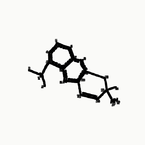 CN(C)c1cccc2nc3c(nc12)C=CC(C)(N)C3